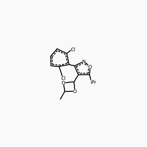 CC1OC(c2c(-c3c(Cl)cccc3Cl)noc2C(C)C)O1